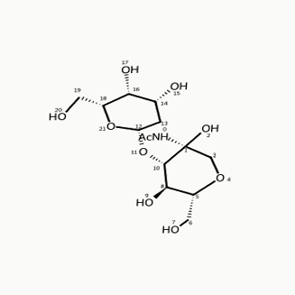 CC(=O)N[C@]1(O)[CH]O[C@H](CO)[C@@H](O)[C@@H]1O[C@H]1C[C@@H](O)[C@@H](O)[C@@H](CO)O1